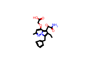 CCc1c(C(=O)C(N)=O)c2c(OCC(=O)O)cc(C)nn2c1Cc1ccccc1